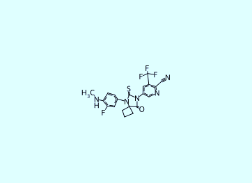 CNc1ccc(N2C(=S)N(c3cnc(C#N)c(C(F)(F)F)c3)C(=O)C23CCC3)cc1F